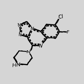 Fc1cc2nc(N3CCNCC3)c3nncn3c2cc1Cl